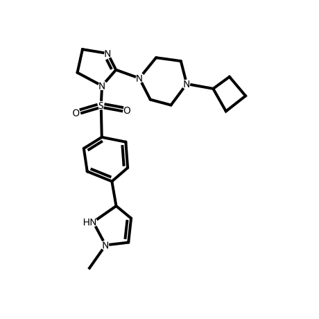 CN1C=CC(c2ccc(S(=O)(=O)N3CCN=C3N3CCN(C4CCC4)CC3)cc2)N1